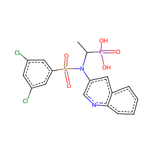 CC(N(c1cnc2ccccc2c1)S(=O)(=O)c1cc(Cl)cc(Cl)c1)P(=O)(O)O